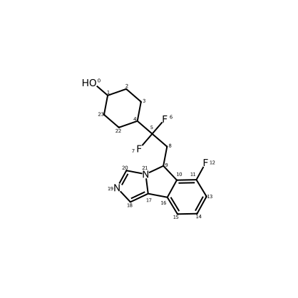 OC1CCC(C(F)(F)CC2c3c(F)cccc3-c3cncn32)CC1